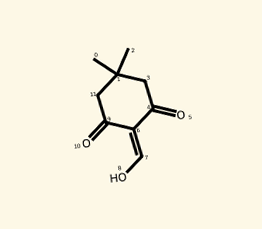 CC1(C)CC(=O)C(=CO)C(=O)C1